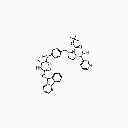 C[C@H](NC(=O)OC1c2ccccc2-c2ccccc21)C(=O)Nc1ccc(C[C@@H]2CC[C@H]([C@H](O)c3cccnc3)N2C(=O)OC(C)(C)C)cc1